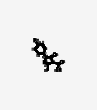 CCC(=O)C1C(=O)N(c2ccc(F)cc2)N=C1C